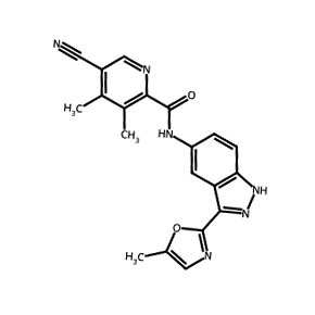 Cc1cnc(-c2n[nH]c3ccc(NC(=O)c4ncc(C#N)c(C)c4C)cc23)o1